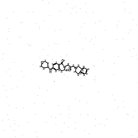 O=C1c2ccc(NC3CCOCC3)cc2CCN1CC(O)CN1CCc2ccccc2C1